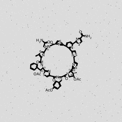 CC(=O)Oc1ccc(C[C@@H]2NC(=O)c3csc(n3)[C@H]([C@H](OC(C)=O)c3ccccc3)NC(=O)c3nc(sc3C)[C@H](CC(N)=O)NC(=O)c3csc(n3)-c3ccc(-c4nc(C(N)=O)cs4)nc3-c3csc(n3)-c3csc(n3)[C@@H]3[C@@H](C)C(OC(C)=O)CN3C2=O)cc1